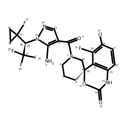 Nc1c(C(=O)N2CCC[C@@]3(C2)OC(=O)Nc2ccc(Cl)c(F)c23)cnn1[C@@H](C(F)(F)F)C1(F)CC1